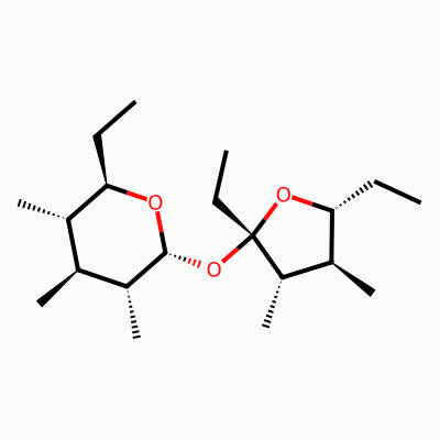 CC[C@H]1O[C@@](CC)(O[C@H]2O[C@H](CC)[C@@H](C)[C@H](C)[C@H]2C)[C@@H](C)[C@@H]1C